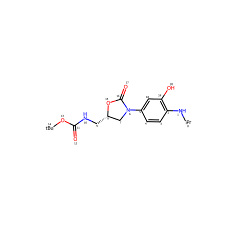 CC(C)Nc1ccc(N2C[C@H](CNC(=O)OC(C)(C)C)OC2=O)cc1O